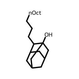 CCCCCCCCCCCC1C2CC3CC(C2)CC1(O)C3